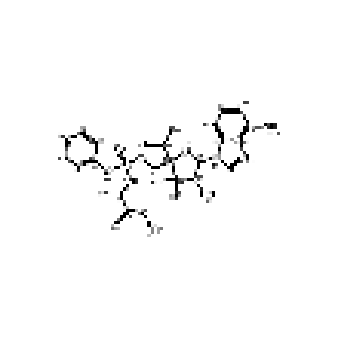 CC(C)OC(=O)[C@H](C)NP(=O)(OC[C@@]1(C(F)F)O[C@@H](n2cnc3c(N)ncnc32)[C@H](O)C1(F)F)Oc1ccccc1